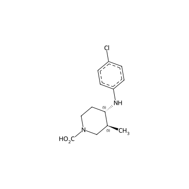 C[C@H]1CN(C(=O)O)CC[C@@H]1Nc1ccc(Cl)cc1